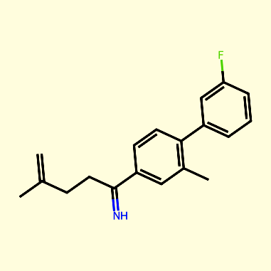 C=C(C)CCC(=N)c1ccc(-c2cccc(F)c2)c(C)c1